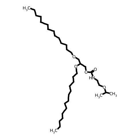 CCCCCCCCCCCCCCOCC(COC(=O)NCCOC(C)C)OCCCCCCCCCCCCCC